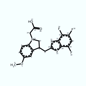 COc1ccc2c(c1)C(Cc1nc3c(F)c(F)cc(F)c3s1)CN2CC(=O)O